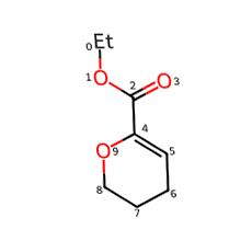 CCOC(=O)C1=CCCCO1